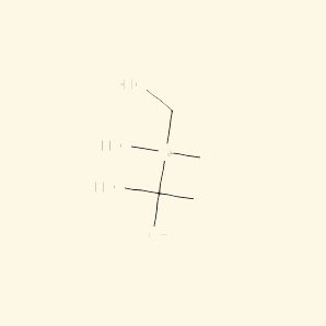 CC(C)(C)[Si](C)(C)CC=O